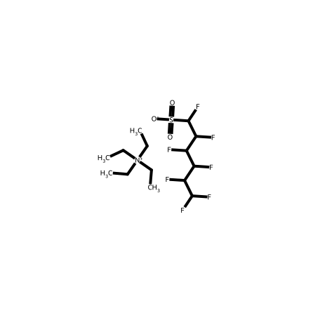 CC[N+](CC)(CC)CC.O=S(=O)([O-])C(F)C(F)C(F)C(F)C(F)C(F)F